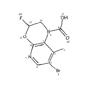 Cc1c(Br)cnc2c1N(C(=O)O)CC(F)O2